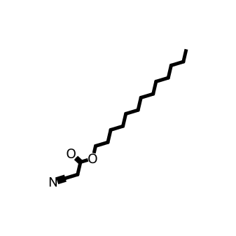 CCCCCCCCCCCCCOC(=O)CC#N